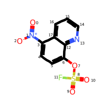 O=[N+]([O-])c1ccc(OS(=O)(=O)F)c2ncccc12